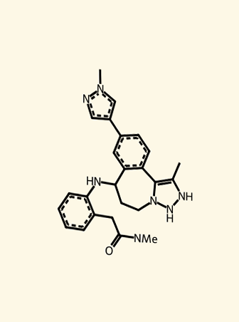 CNC(=O)Cc1ccccc1NC1CCN2NNC(C)=C2c2ccc(-c3cnn(C)c3)cc21